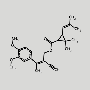 C#CC(COC(=O)C1C(C=C(C)C)C1(C)C)=C(C)c1ccc(OC)c(OC)c1